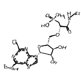 CCNC(=O)[C@H](OC[C@H]1O[C@@H](n2cnc3c(NCC)nc(Cl)nc32)[C@H](O)[C@@H]1O)P(=O)(O)O